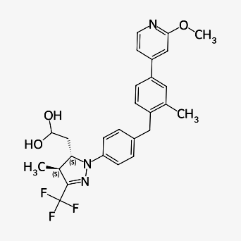 COc1cc(-c2ccc(Cc3ccc(N4N=C(C(F)(F)F)[C@@H](C)[C@@H]4CC(O)O)cc3)c(C)c2)ccn1